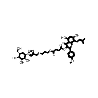 COc1ccc(-c2oc3c(CC=C(C)C)c(O)cc(O)c3c(=O)c2OC(=O)CCC(=O)OCCCOCc2cn([C@H]3C[C@@H](CO)[C@H](O)[C@@H](O)[C@@H]3O)nn2)cc1